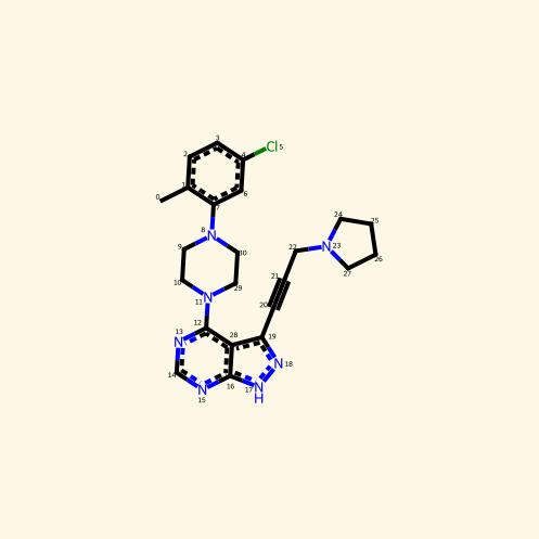 Cc1ccc(Cl)cc1N1CCN(c2ncnc3[nH]nc(C#CCN4CCCC4)c23)CC1